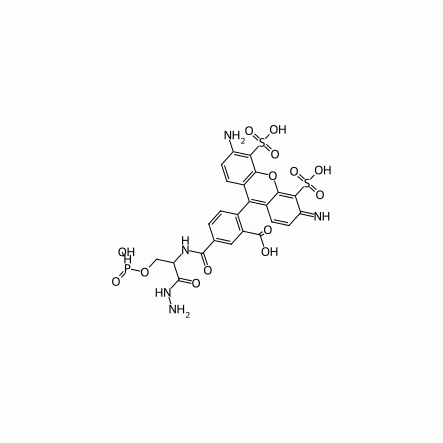 N=c1ccc2c(-c3ccc(C(=O)NC(CO[PH](=O)O)C(=O)NN)cc3C(=O)O)c3ccc(N)c(S(=O)(=O)O)c3oc-2c1S(=O)(=O)O